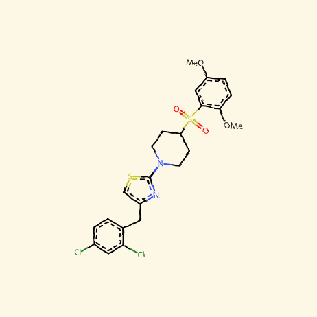 COc1ccc(OC)c(S(=O)(=O)C2CCN(c3nc(Cc4ccc(Cl)cc4Cl)cs3)CC2)c1